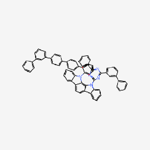 c1ccc(-c2cccc(-c3ccc(-c4ccc(-c5ccccc5-n5c6ccccc6c6ccc7c8ccccc8n(-c8nc(-c9ccccc9)nc(-c9cccc(-c%10ccccc%10)c9)n8)c7c65)cc4)cc3)c2)cc1